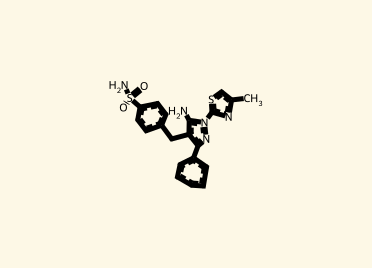 Cc1csc(-n2nc(-c3ccccc3)c(Cc3ccc(S(N)(=O)=O)cc3)c2N)n1